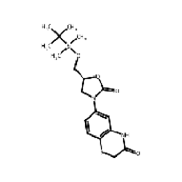 CC(C)(C)[Si](C)(C)OC[C@@H]1CN(c2ccc3c(c2)NC(=O)CS3)C(=O)O1